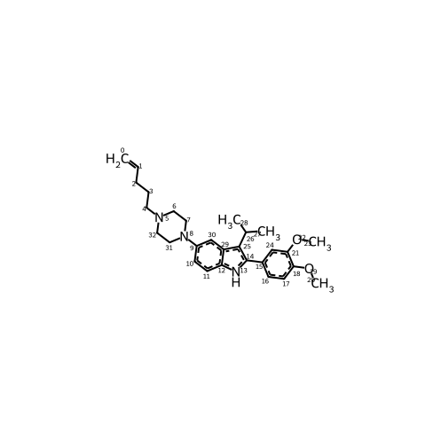 C=CCCCN1CCN(c2ccc3[nH]c(-c4ccc(OC)c(OC)c4)c(C(C)C)c3c2)CC1